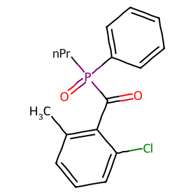 CCCP(=O)(C(=O)c1c(C)cccc1Cl)c1ccccc1